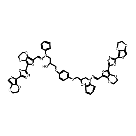 OC(CSc1ccc(SCC(O)CN(/N=C/c2sc(-c3nnc(-c4scc5c4OCCO5)o3)c3c2OCCO3)c2ccccc2)cc1)CN(/N=C/c1sc(-c2nnc(-c3scc4c3OCCO4)o2)c2c1OCCO2)c1ccccc1